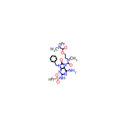 CCCN(C)C(=O)OCCN(C)C(=O)n1c(=O)n(Cc2ccccc2)c2nc(NS(=O)(=O)CCC)nc(N)c21